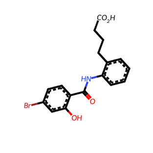 O=C(O)CCCc1ccccc1NC(=O)c1ccc(Br)cc1O